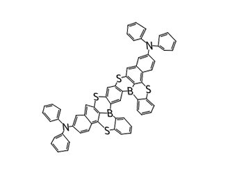 c1ccc(N(c2ccccc2)c2ccc3c4c5c(cc3c2)Sc2cc3c(cc2B5c2ccccc2S4)B2c4ccccc4Sc4c2c(cc2cc(N(c5ccccc5)c5ccccc5)ccc42)S3)cc1